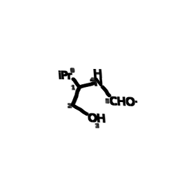 CC(C)C(CO)N[C]=O